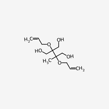 C=CCOC(C)(CO)C(CO)(CO)OCC=C